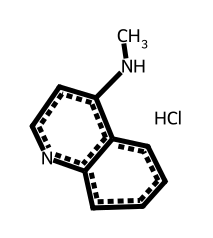 CNc1ccnc2ccccc12.Cl